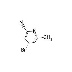 Cc1cc(Br)cc(C#N)n1